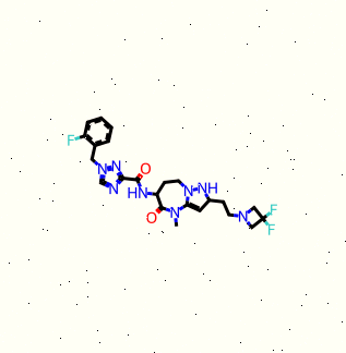 CN1C(=O)C(NC(=O)c2ncn(Cc3ccccc3F)n2)CCN2NC(CCN3CC(F)(F)C3)C=C21